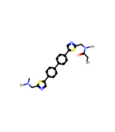 CCCN(Cc1ncc(-c2ccc(-c3ccc(-c4cnc(CN(C)CC)s4)cc3)cc2)s1)C(=O)CC(C)C